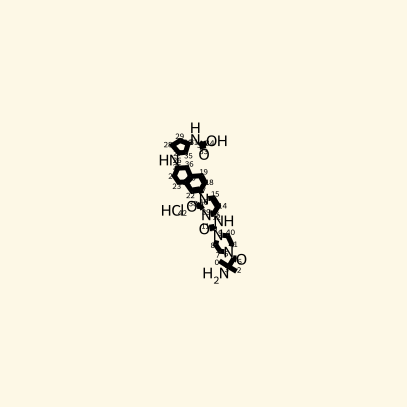 CC(C)(N)C(=O)N1CCN(C(=O)Nc2ccn(-c3ccc4c(c3)CCC(N[C@H]3CC[C@H](NC(=O)O)C3)C4)c(=O)n2)CC1.Cl